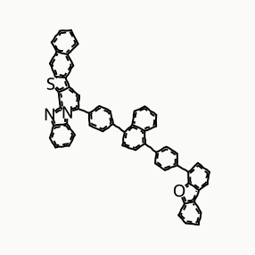 c1ccc2cc3c(cc2c1)sc1c3cc(-c2ccc(-c3ccc(-c4ccc(-c5cccc6c5oc5ccccc56)cc4)c4ccccc34)cc2)n2c3ccccc3nc12